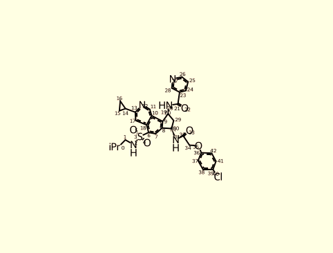 CC(C)CNS(=O)(=O)c1cc2c(c3cnc(C4CC4)cc13)[C@@H](NC(=O)c1cccnc1)C[C@H]2NC(=O)COc1ccc(Cl)cc1